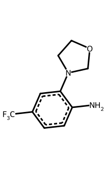 Nc1ccc(C(F)(F)F)cc1N1CCOC1